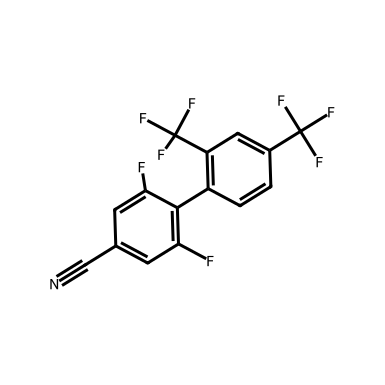 N#Cc1cc(F)c(-c2ccc(C(F)(F)F)cc2C(F)(F)F)c(F)c1